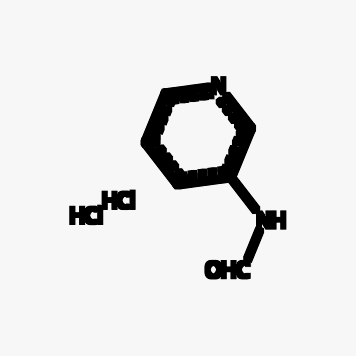 Cl.Cl.O=CNc1cccnc1